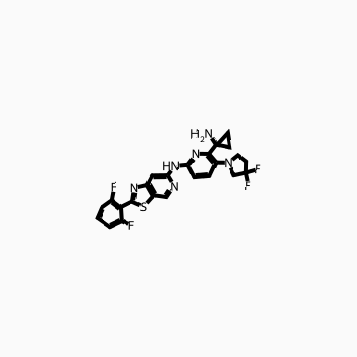 NC1(c2nc(Nc3cc4nc(-c5c(F)cccc5F)sc4cn3)ccc2N2CCC(F)(F)C2)CC1